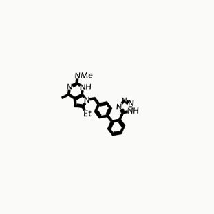 CCc1cc2c(n1Cc1ccc(-c3ccccc3-c3nnn[nH]3)cc1)NC(NC)=NC2C